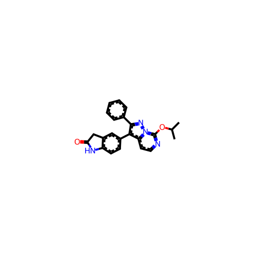 CC(C)Oc1nccc2c(-c3ccc4c(c3)CC(=O)N4)c(-c3ccccc3)nn12